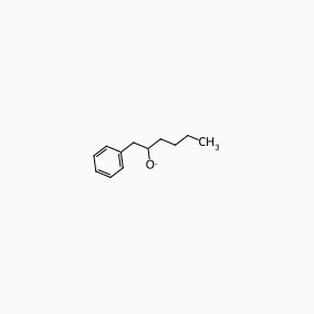 CCCCC([O])Cc1ccccc1